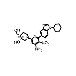 Nc1cc(N2CC[C@H](CO)[C@@H](O)C2)nc(-c2ccc3c(c2)ncn3C2CCCCC2)c1[N+](=O)[O-]